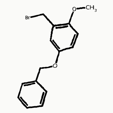 COc1ccc(OCc2ccccc2)cc1CBr